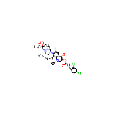 COc1c(N2CCN(CC(C)(C)O)C(C)C2)c(F)cc2c(=O)c(OC(=O)NCc3ccc(Cl)cc3Cl)cn(C3CC3)c12